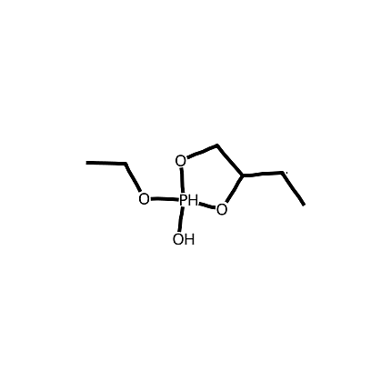 C[CH]C1CO[PH](O)(OCC)O1